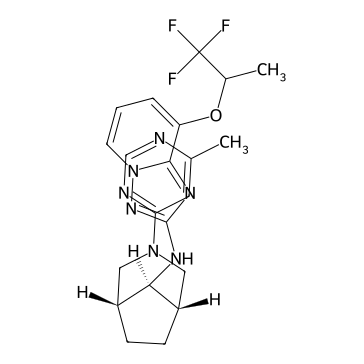 Cc1cc(N2C[C@H]3CC[C@@H](C2)[C@@H]3Nc2nc3c(OC(C)C(F)(F)F)cccn3n2)ncn1